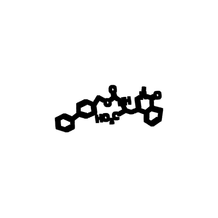 Cn1cc(CC(NC(=O)OCc2ccc(-c3ccccc3)cc2)C(=O)O)c2ccccc2c1=O